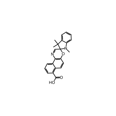 CN1c2ccccc2C(C)(C)C12C=Nc1c(ccc3c(C(=O)O)cccc13)O2